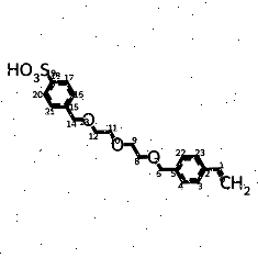 C=Cc1ccc(COCCOCCOCc2ccc(S(=O)(=O)O)cc2)cc1